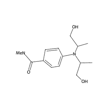 CNC(=O)c1ccc(N(C(C)CO)C(C)CO)cc1